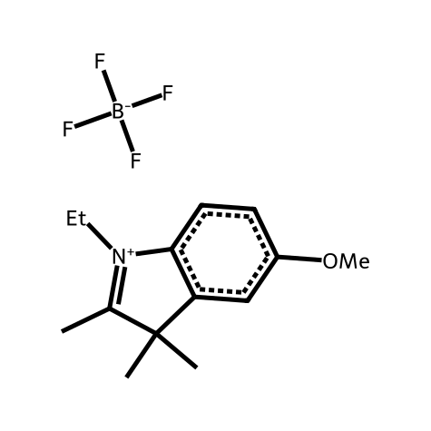 CC[N+]1=C(C)C(C)(C)c2cc(OC)ccc21.F[B-](F)(F)F